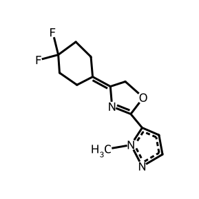 Cn1nccc1C1=NC(=C2CCC(F)(F)CC2)CO1